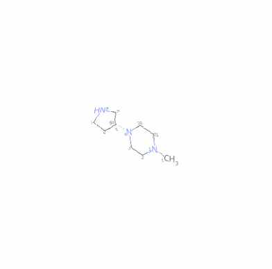 CN1CCN([C@@H]2CCNC2)CC1